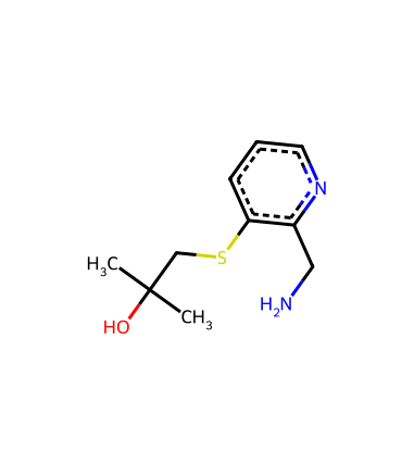 CC(C)(O)CSc1cccnc1CN